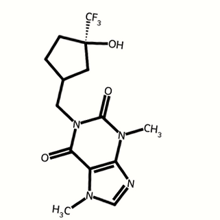 Cn1cnc2c1c(=O)n(CC1CC[C@](O)(C(F)(F)F)C1)c(=O)n2C